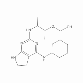 CC(Nc1nc2c(c(NC3CCCCC3)n1)CCN2)C(C)OCO